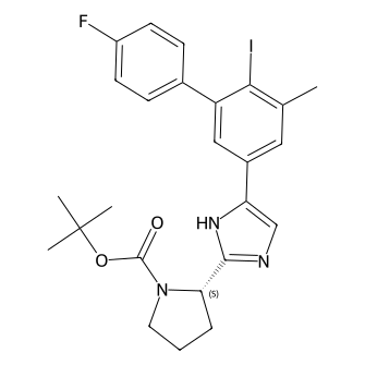 Cc1cc(-c2cnc([C@@H]3CCCN3C(=O)OC(C)(C)C)[nH]2)cc(-c2ccc(F)cc2)c1I